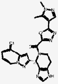 Cc1c(-c2nnc(C(=O)N3CCc4[nH]cnc4[C@@H]3c3cc4c(Cl)cccn4n3)o2)cnn1C